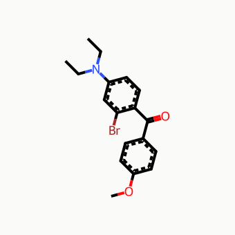 CCN(CC)c1ccc(C(=O)c2ccc(OC)cc2)c(Br)c1